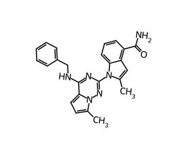 Cc1cc2c(C(N)=O)cccc2n1-c1nc(NCc2ccccc2)c2ccc(C)n2n1